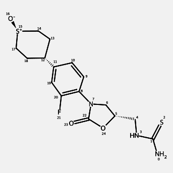 NC(=S)NC[C@H]1CN(c2ccc([C@H]3CC[S@+]([O-])CC3)cc2F)C(=O)O1